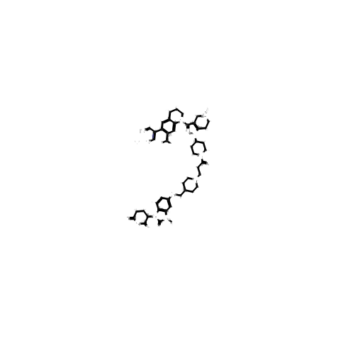 CN/C=C(\C=N)c1cc2c(cc1C(F)F)N(c1nn(C3CCN(C(=O)CCN4CCC(CNc5ccc6c(c5)n(C)c(=O)n6C5CCC(=O)NC5=O)CC4)CC3)c3c1CN(C(C)=O)CC3)CCC2